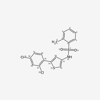 Cc1ccccc1S(=O)(=O)Nc1csc(-c2ccc(Cl)cc2Cl)c1